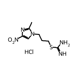 Cc1nc([N+](=O)[O-])cn1CCCSC(=N)N.Cl